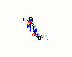 O=C(NCc1cccc(OC(F)(F)F)c1)c1cn(CC(F)CCN(Cc2cccc(C(F)(F)F)n2)C(=O)c2c[nH]nn2)nn1